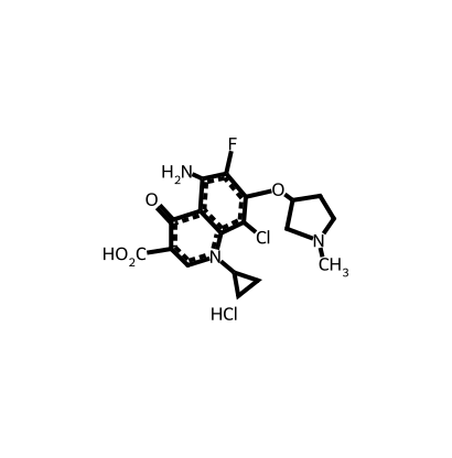 CN1CCC(Oc2c(F)c(N)c3c(=O)c(C(=O)O)cn(C4CC4)c3c2Cl)C1.Cl